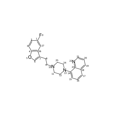 Fc1ccc2occ(CCN3CCN(c4cccc5cccnc45)CC3)c2c1